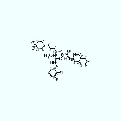 CN(C(=O)NCc1cccc(F)c1Cl)[C@@H](CCCN1CCS(=O)(=O)CC1)COC(=O)Nc1cc2ccccc2cn1